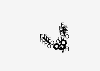 CN1CC[C@]23c4c5ccc(OC(=O)C(F)(F)C(F)(F)C(F)(F)F)c4O[C@H]2[C@@H](OC(=O)C(F)(F)C(F)(F)C(F)(F)F)C=C[C@H]3[C@H]1C5